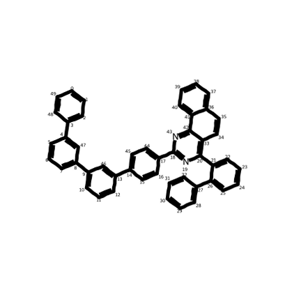 c1ccc(-c2cccc(-c3cccc(-c4ccc(-c5nc(-c6ccccc6-c6ccccc6)c6ccc7ccccc7c6n5)cc4)c3)c2)cc1